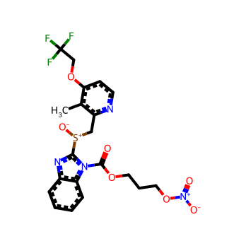 Cc1c(OCC(F)(F)F)ccnc1C[S+]([O-])c1nc2ccccc2n1C(=O)OCCCO[N+](=O)[O-]